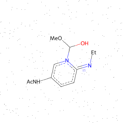 CC/N=c1/ccc(NC(C)=O)cn1C(O)OC